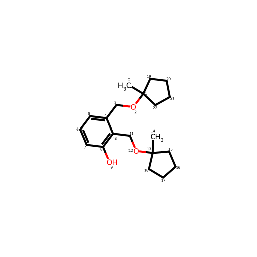 CC1(OCc2cccc(O)c2COC2(C)CCCC2)CCCC1